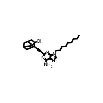 CCCCCCCCCn1cnc2c(N)nc(C#CC3C4CC5CC(C4)CC3(O)C5)nc21